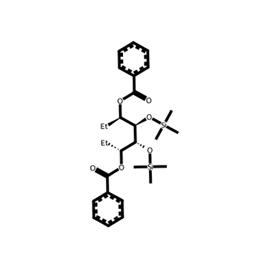 CC[C@@H](OC(=O)c1ccccc1)[C@@H](O[Si](C)(C)C)[C@H](O[Si](C)(C)C)[C@@H](CC)OC(=O)c1ccccc1